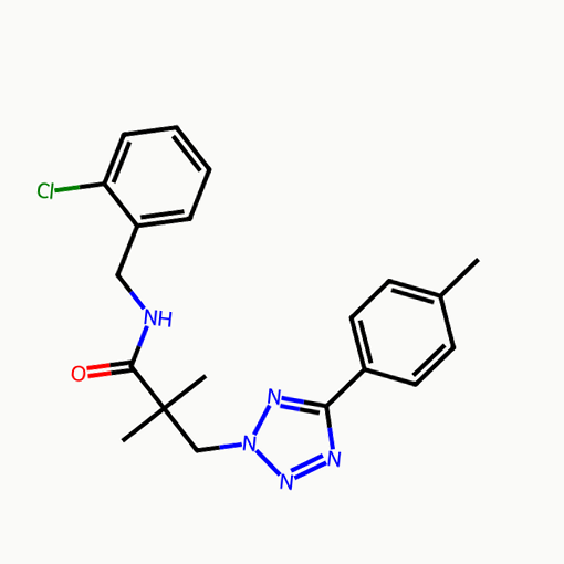 Cc1ccc(-c2nnn(CC(C)(C)C(=O)NCc3ccccc3Cl)n2)cc1